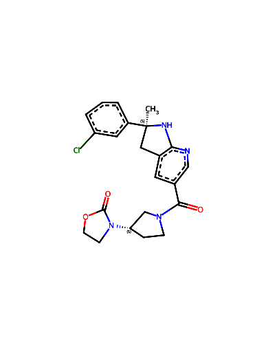 C[C@@]1(c2cccc(Cl)c2)Cc2cc(C(=O)N3CC[C@H](N4CCOC4=O)C3)cnc2N1